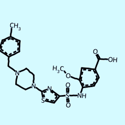 COc1cc(C(=O)O)ccc1NS(=O)(=O)c1csc(N2CCN(Cc3ccc(C)cc3)CC2)n1